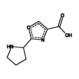 O=C(O)c1coc(C2CCCN2)n1